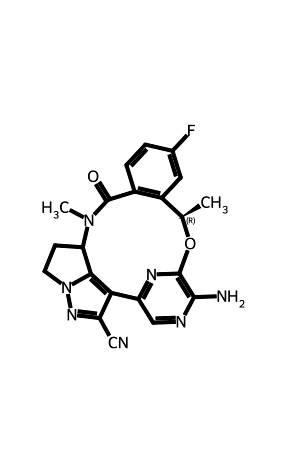 C[C@H]1Oc2nc(cnc2N)-c2c(C#N)nn3c2C(CC3)N(C)C(=O)c2ccc(F)cc21